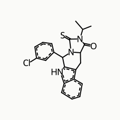 CC(C)N1C(=O)C2Cc3c([nH]c4ccccc34)C(c3cccc(Cl)c3)N2C1=S